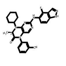 C[C@@H]1C(=O)N(c2cccc(C#N)c2)c2cnc(Nc3ccc4[nH]ncc4c3F)nc2N1C1CCCCC1